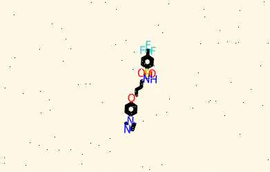 O=S(=O)(NCCCCOc1ccc(-n2ccnc2)cc1)c1ccc(C(F)(F)F)cc1